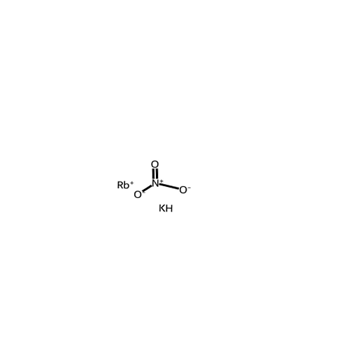 O=[N+]([O-])[O-].[KH].[Rb+]